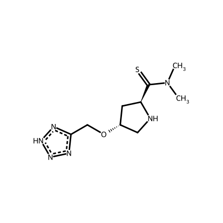 CN(C)C(=S)[C@@H]1C[C@@H](OCc2nn[nH]n2)CN1